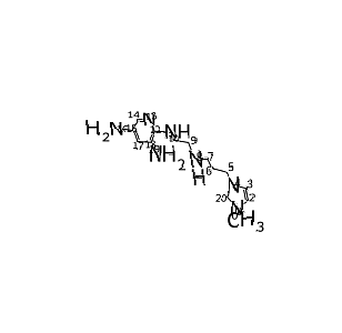 CN1C=CN(CCCNCCNc2ncc(N)cc2N)C1